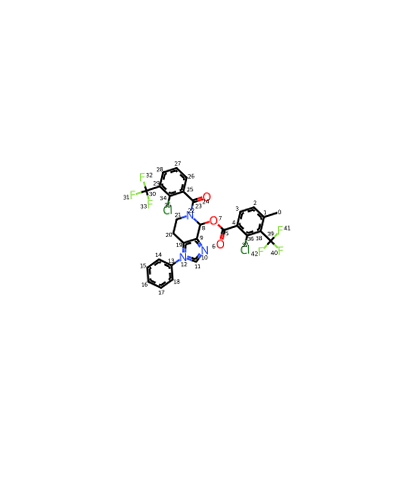 Cc1ccc(C(=O)OC2c3ncn(-c4ccccc4)c3CCN2C(=O)c2cccc(C(F)(F)F)c2Cl)c(Cl)c1C(F)(F)F